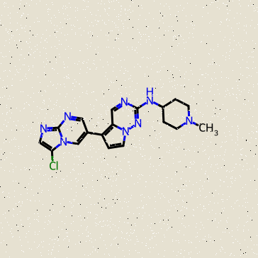 CN1CCC(Nc2ncc3c(-c4cnc5ncc(Cl)n5c4)ccn3n2)CC1